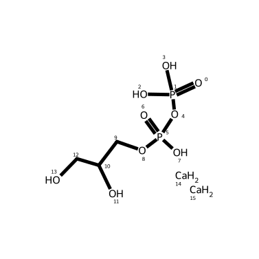 O=P(O)(O)OP(=O)(O)OCC(O)CO.[CaH2].[CaH2]